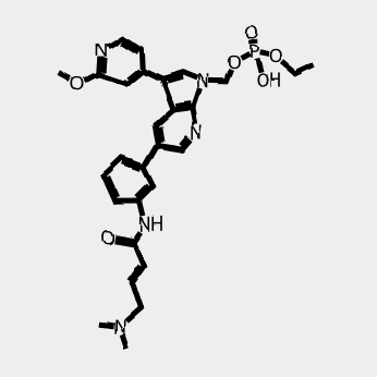 CCOP(=O)(O)OCn1cc(-c2ccnc(OC)c2)c2cc(-c3cccc(NC(=O)C=CCN(C)C)c3)cnc21